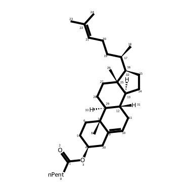 CCCCCC(=O)O[C@H]1CC[C@@]2(C)C(=CC[C@H]3[C@@H]4CC[C@H]([C@H](C)CCC=C(C)C)[C@@]4(C)CC[C@@H]32)C1